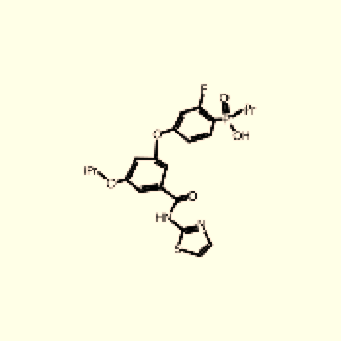 CC(C)Oc1cc(Oc2ccc(P(=O)(O)C(C)C)c(F)c2)cc(C(=O)Nc2nccs2)c1